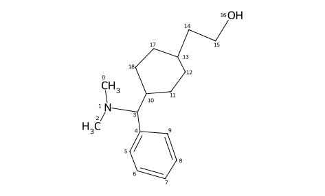 CN(C)C(c1ccccc1)C1CCC(CCO)CC1